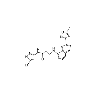 CCc1cc(NC(=O)CCNc2nccc3ccc(-c4noc(C)n4)cc23)nn1C